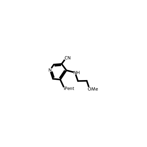 CCCC(C)c1cncc(C#N)c1NCCOC